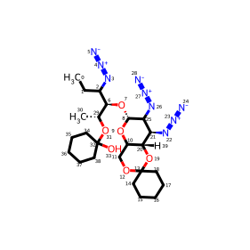 CCC(N=[N+]=[N-])[C@@H](O[C@H]1OC2COC3(CCCCC3)O[C@H]2[C@H](N=[N+]=[N-])C1N=[N+]=[N-])[C@@H](C)OC1(O)CCCCC1